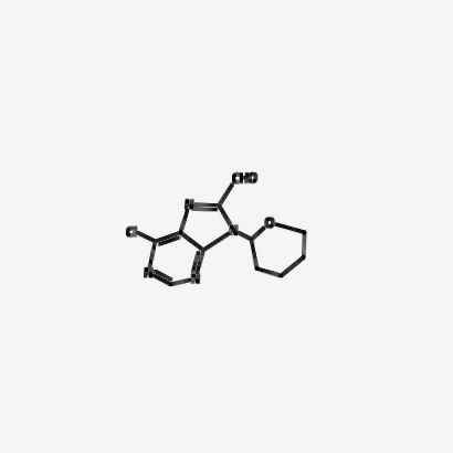 O=Cc1nc2c(Cl)ncnc2n1C1CCCCO1